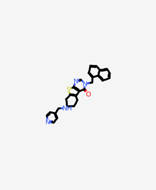 O=c1c2c3c(sc2ncn1Cc1cccc2ccccc12)CC(NCc1ccncc1)CC3